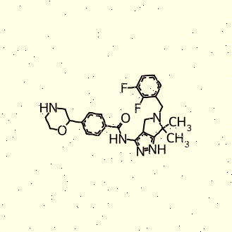 CC1(C)c2[nH]nc(NC(=O)c3ccc(C4CNCCO4)cc3)c2CN1Cc1cccc(F)c1F